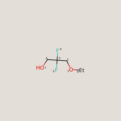 CCOCC(F)(F)CO